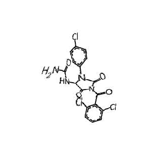 NC(=O)NC1C(=O)N(C(=O)c2c(Cl)cccc2Cl)C(=O)N1c1ccc(Cl)cc1